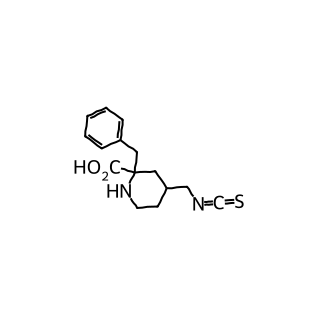 O=C(O)C1(Cc2ccccc2)CC(CN=C=S)CCN1